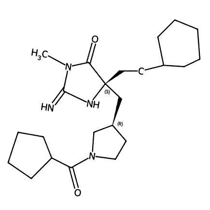 CN1C(=N)N[C@@](CCC2CCCCC2)(C[C@H]2CCN(C(=O)C3CCCC3)C2)C1=O